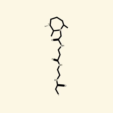 CC1CCC[C@@H](C)C(C)N1CC(=O)NCCC(=O)NCCNC(=O)CI